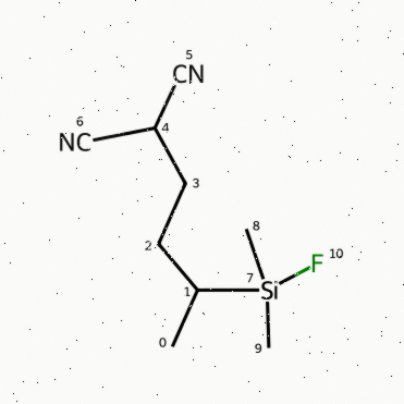 CC(CCC(C#N)C#N)[Si](C)(C)F